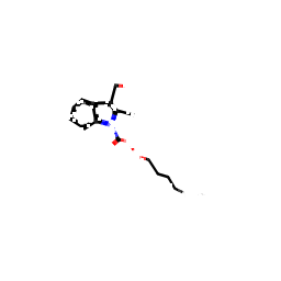 CCCCCCCCCCCCCCOOC(=O)n1c(C)c(CO)c2ccccc21